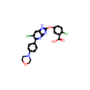 O=C(O)c1cc(Oc2nc3nc(-c4ccc(N5CCOCC5)cc4)c(Cl)cc3[nH]2)ccc1Cl